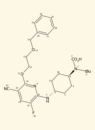 CC(C)(C)N(C(=O)O)[C@H]1CC[C@H](Nc2nc(OCCOCc3ccccc3)c(C#N)cc2F)CC1